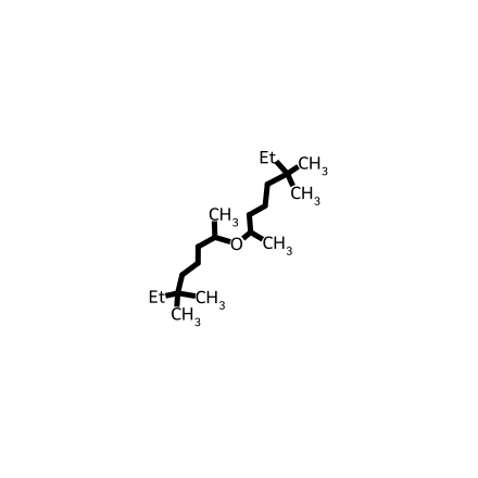 CCC(C)(C)CCCC(C)OC(C)CCCC(C)(C)CC